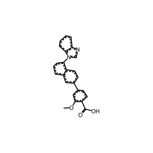 COc1cc(-c2ccc3c(-n4cnc5ccccc54)cccc3c2)ccc1C(=O)O